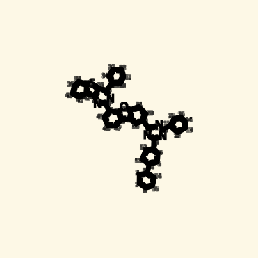 c1ccc(-c2ccc(-c3nc(-c4ccccc4)nc(-c4ccc5oc6c(-c7nc(-c8ccccc8)c8sc9ccccc9c8n7)cccc6c5c4)n3)cc2)cc1